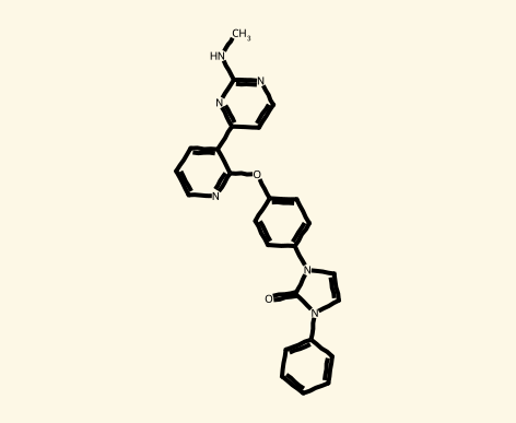 CNc1nccc(-c2cccnc2Oc2ccc(-n3ccn(-c4ccccc4)c3=O)cc2)n1